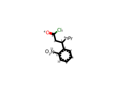 CCCC(CC(=O)Cl)c1ccccc1[N+](=O)[O-]